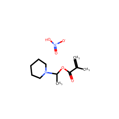 C=C(C)C(=O)OC(C)N1CCCCC1.O=[N+]([O-])O